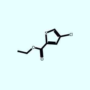 CCOC(=O)c1cc(Cl)cs1